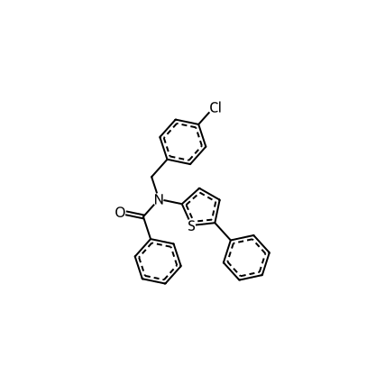 O=C(c1ccccc1)N(Cc1ccc(Cl)cc1)c1ccc(-c2ccccc2)s1